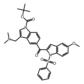 COc1ccc2c(c1)cc(C(=O)c1ccc3c(c1)c(CN(C)C)cn3C(=O)OC(C)(C)C)n2S(=O)(=O)c1ccccc1